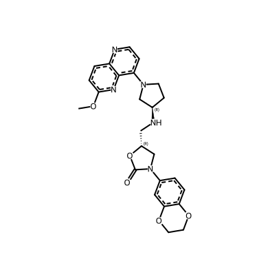 COc1ccc2nccc(N3CC[C@@H](NC[C@@H]4CN(c5ccc6c(c5)OCCO6)C(=O)O4)C3)c2n1